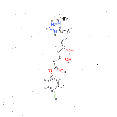 C=C(C=CC(O)CC(O)CC(=O)Oc1ccc(F)cc1)c1nnnn1C(C)C